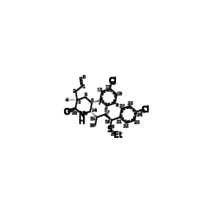 C=CC[C@@]1(C)C[C@H](c2cccc(Cl)c2)[C@H](C(C)C[C@H](SCC)c2ccc(Cl)cc2)NC1=O